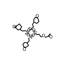 C[Si]1(CCCOCC2CO2)O[Si](C)(CCC2CCC3OC3C2)O[Si](C)(CCC2CCC3OC3C2)O[Si](C)(CCC2CCC3OC3C2)O1